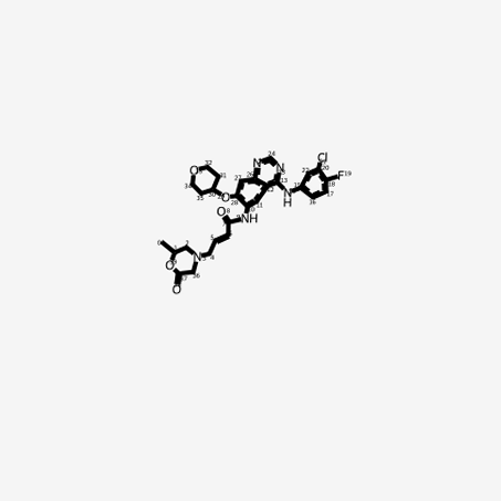 CC1CN(CC=CC(=O)Nc2cc3c(Nc4ccc(F)c(Cl)c4)ncnc3cc2OC2CCOCC2)CC(=O)O1